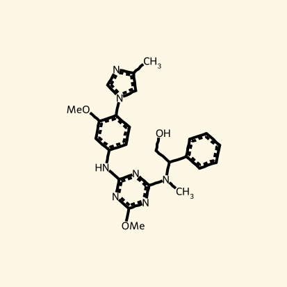 COc1nc(Nc2ccc(-n3cnc(C)c3)c(OC)c2)nc(N(C)C(CO)c2ccccc2)n1